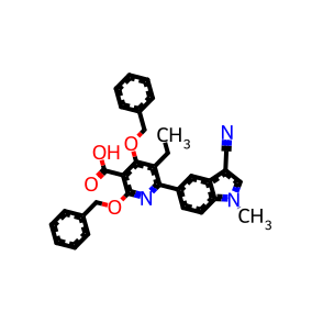 CCc1c(-c2ccc3c(c2)c(C#N)cn3C)nc(OCc2ccccc2)c(C(=O)O)c1OCc1ccccc1